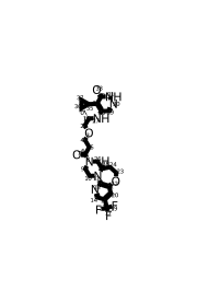 C[C@@H](COCCC(=O)N1CCN2c3ncc(C(F)(F)F)cc3OCC[C@@H]2C1)Nc1cn[nH]c(=O)c1C1CC1